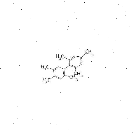 Cc1cc(C)c(-c2cc(C)c(C)cc2C)c(C)c1